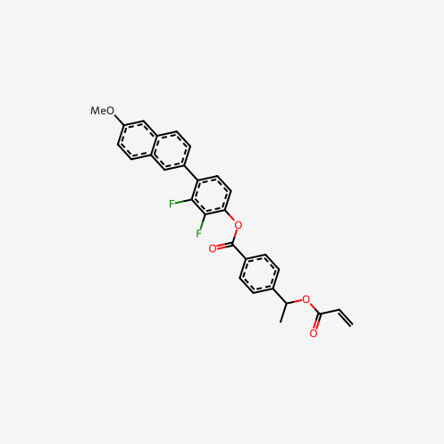 C=CC(=O)OC(C)c1ccc(C(=O)Oc2ccc(-c3ccc4cc(OC)ccc4c3)c(F)c2F)cc1